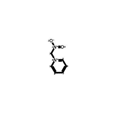 O=[N+]([O-])C[n+]1ccccc1